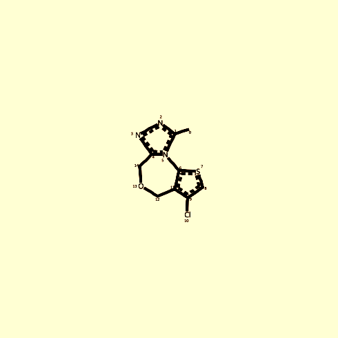 Cc1nnc2n1-c1scc(Cl)c1COC2